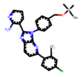 CC(C)(C)[Si](C)(C)OCc1ccc(-n2c(-c3cccnc3N)nc3ccc(-c4ccc(F)cc4C(F)(F)F)nc32)cc1